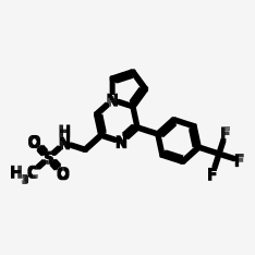 CS(=O)(=O)NCc1cn2cccc2c(-c2ccc(C(F)(F)F)cc2)n1